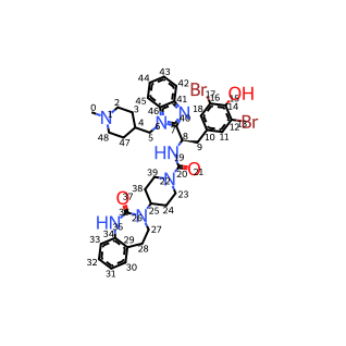 CN1CCC(Cn2c([C@@H](Cc3cc(Br)c(O)c(Br)c3)NC(=O)N3CCC(N4CCc5ccccc5NC4=O)CC3)nc3ccccc32)CC1